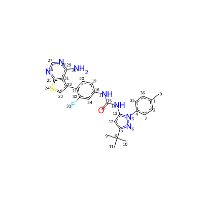 Cc1ccc(-n2nc(C(C)(C)C)cc2NC(=O)Nc2ccc(-c3csc4ncnc(N)c34)c(F)c2)cc1